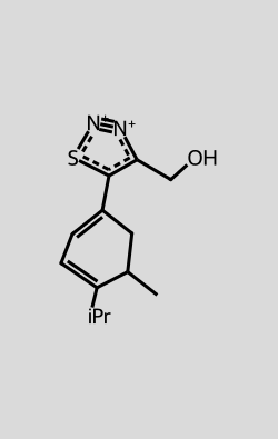 CC(C)C1=CC=C(c2s[n+]#[n+]c2CO)CC1C